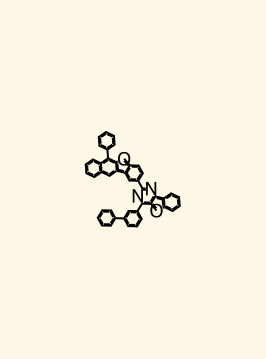 c1ccc(-c2cccc(-c3nc(-c4ccc5oc6c(-c7ccccc7)c7ccccc7cc6c5c4)nc4c3oc3ccccc34)c2)cc1